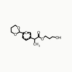 CC(C(=O)OCCCO)c1ccc(C2OCCCO2)cc1